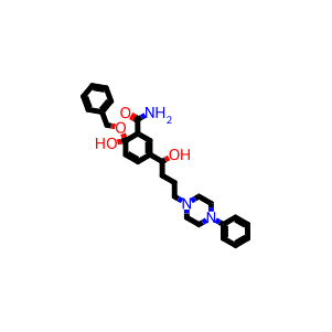 NC(=O)C1C=C(C(O)CCCN2CCN(c3ccccc3)CC2)C=CC1(O)OCc1ccccc1